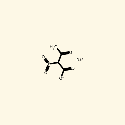 CC(=O)C(C(=O)[O-])P(=O)=O.[Na+]